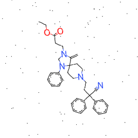 C=C1N(CCC(=O)OCC)CN(c2ccccc2)C12CCN(CCC(C#N)(c1ccccc1)c1ccccc1)CC2